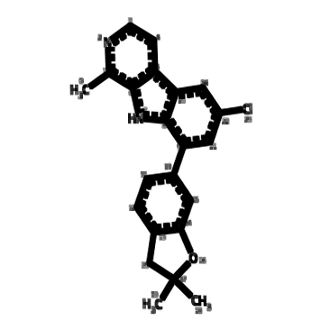 Cc1nccc2c1[nH]c1c(-c3ccc4c(c3)OC(C)(C)C4)cc(Cl)cc12